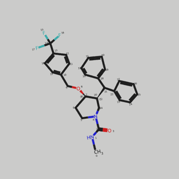 CNC(=O)N1CC[C@@H](OCc2ccc(C(F)(F)F)cc2)[C@@H](C(c2ccccc2)c2ccccc2)C1